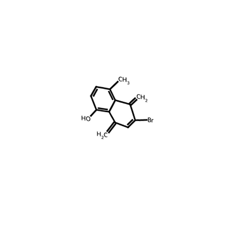 C=c1cc(Br)c(=C)c2c(C)ccc(O)c12